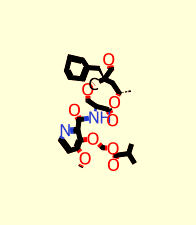 COc1ccnc(C(=O)N[C@H]2COC[C@@](C=O)(Cc3ccccc3)C[C@H](C)OC2=O)c1OCOC(=O)C(C)C